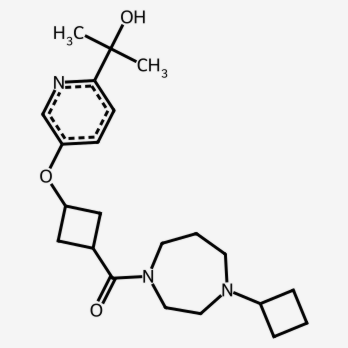 CC(C)(O)c1ccc(OC2CC(C(=O)N3CCCN(C4CCC4)CC3)C2)cn1